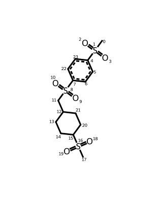 CS(=O)(=O)c1ccc(S(=O)(=O)CC2CCC(S(C)(=O)=O)CC2)cc1